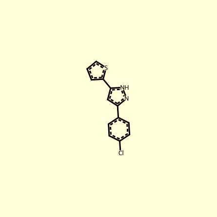 Clc1ccc(-c2cc(-c3cccs3)[nH]n2)cc1